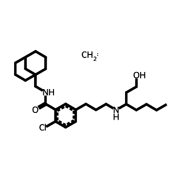 CCCCC(CCO)NCCCc1ccc(Cl)c(C(=O)NCC23CCCC(CCC2)C3)c1.[CH2]